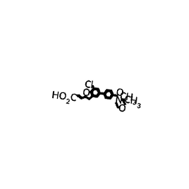 CC1(C)COCCN1C(=O)c1ccc(-c2cc(Cl)c3c(c2)CC(C=CC(=O)O)O3)cc1